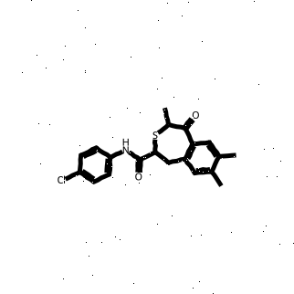 Cc1cc2c(cc1C)C(=O)C(C)SC(C(=O)Nc1ccc(Cl)cc1)C2